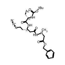 CC(=O)C[C@H](NC(=O)OC(C)(C)C)C(=O)N[C@@H](CCN=[N+]=[N-])CC(=O)NN(C)CC(=O)OCc1ccccc1